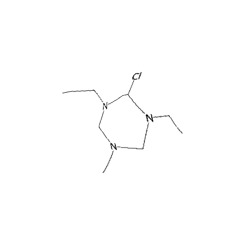 CCN1CN(C)CN(CC)C1Cl